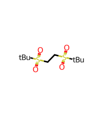 CC(C)(C)S(=O)(=O)CCS(=O)(=O)C(C)(C)C